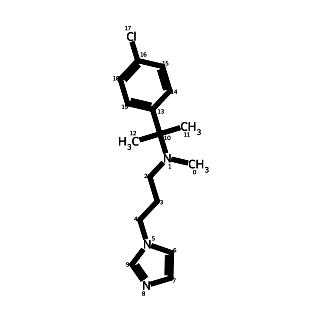 CN(CCCn1ccnc1)C(C)(C)c1ccc(Cl)cc1